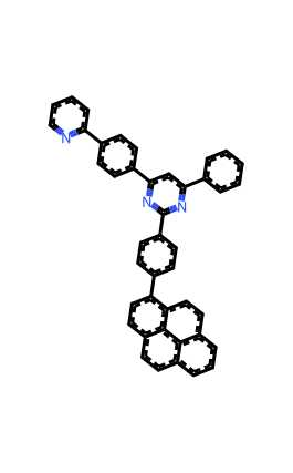 c1ccc(-c2cc(-c3ccc(-c4ccccn4)cc3)nc(-c3ccc(-c4ccc5ccc6cccc7ccc4c5c67)cc3)n2)cc1